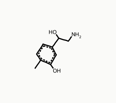 Cc1ccc(C(O)CN)cc1O